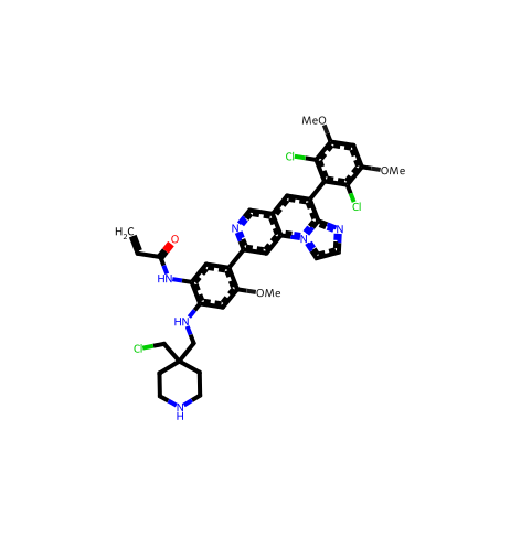 C=CC(=O)Nc1cc(-c2cc3c(cn2)cc(-c2c(Cl)c(OC)cc(OC)c2Cl)c2nccn23)c(OC)cc1NCC1(CCl)CCNCC1